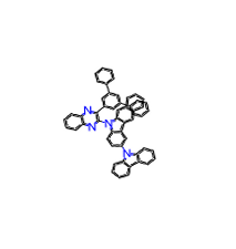 c1ccc(-c2cc(-c3ccccc3)cc(-c3nc4ccccc4nc3-n3c4ccc(-n5c6ccccc6c6ccccc65)cc4c4cc5ccccc5cc43)c2)cc1